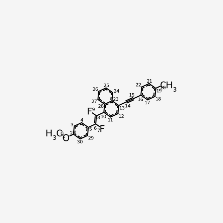 COc1ccc(/C(F)=C(\F)c2ccc(C#Cc3ccc(C)cc3)c3ccccc23)cc1